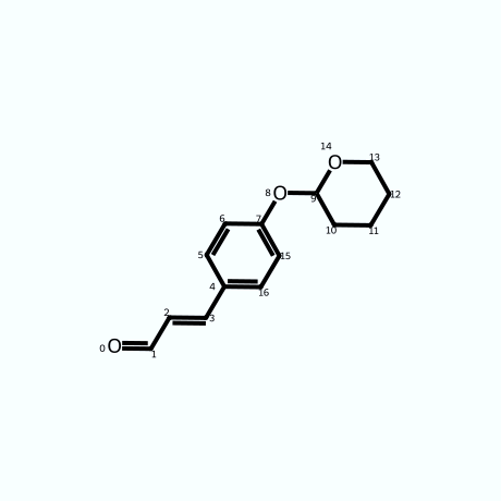 O=C/C=C/c1ccc(OC2CCCCO2)cc1